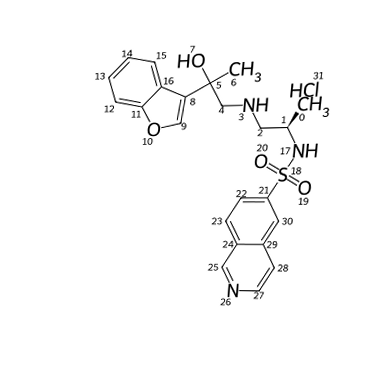 C[C@H](CNCC(C)(O)c1coc2ccccc12)NS(=O)(=O)c1ccc2cnccc2c1.Cl